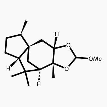 COC1O[C@H]2C[C@@]34C[C@H](C(C)(C)[C@@H]3CC[C@H]4C)[C@@]2(C)O1